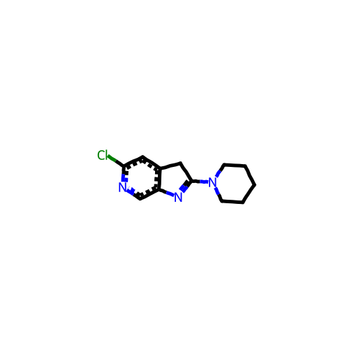 Clc1cc2c(cn1)N=C(N1CCCCC1)C2